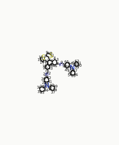 C(=C\c1ccc2c(-c3cccs3)c(-c3cccs3)c3ccc(/C=C/c4ccc(N(c5ccccc5)c5ccccc5)cc4)cc3c2c1)/c1ccc(N(c2ccccc2)c2ccccc2)cc1